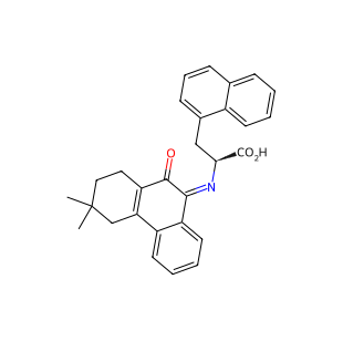 CC1(C)CCC2=C(C1)c1ccccc1/C(=N/[C@@H](Cc1cccc3ccccc13)C(=O)O)C2=O